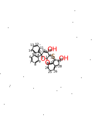 O=C1OC(c2ccccc2)(c2ccccc2)C=C(O)C1SC1C2=CCCC=C2CC1O